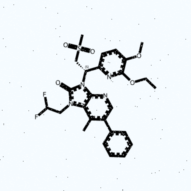 CCOc1nc([C@@H](CS(C)(=O)=O)n2c(=O)n(CC(F)F)c3c(C)c(-c4ccccc4)cnc32)ccc1OC